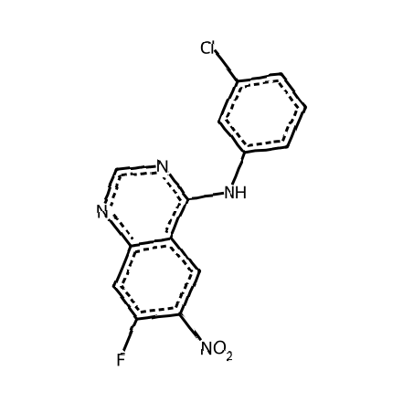 O=[N+]([O-])c1cc2c(Nc3cccc(Cl)c3)ncnc2cc1F